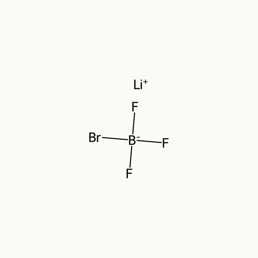 F[B-](F)(F)Br.[Li+]